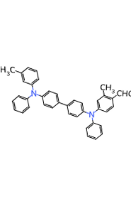 Cc1cccc(N(c2ccccc2)c2ccc(-c3ccc(N(c4ccccc4)c4ccc(C=O)c(C)c4)cc3)cc2)c1